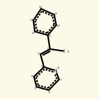 IC(=Cc1ccccn1)c1ccccc1